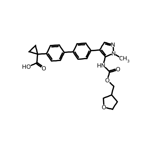 Cn1ncc(-c2ccc(-c3ccc(C4(C(=O)O)CC4)cc3)cc2)c1NC(=O)OCC1CCOC1